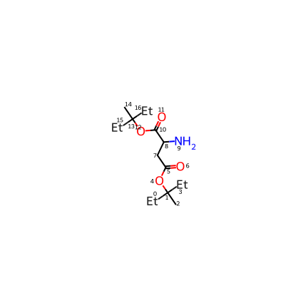 CCC(C)(CC)OC(=O)CC(N)C(=O)OC(C)(CC)CC